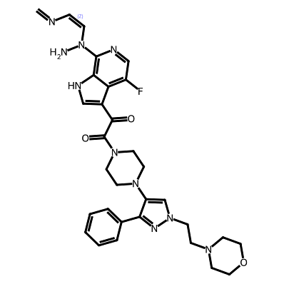 C=N/C=C\N(N)c1ncc(F)c2c(C(=O)C(=O)N3CCN(c4cn(CCN5CCOCC5)nc4-c4ccccc4)CC3)c[nH]c12